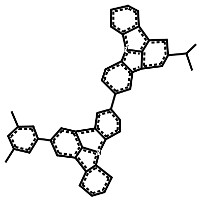 Cc1cc(C)cc(-c2cc3c4ccccc4n4c5ccc(-c6ccc7c(c6)c6cc(C(C)C)cc8c9ccccc9n7c86)cc5c(c2)c34)c1